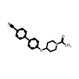 CC(=O)N1CCC(Oc2ccc(-c3ccc(C#N)cc3)cc2)CC1